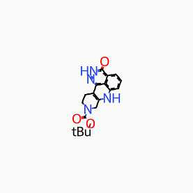 CC(C)(C)OC(=O)N1CCC2=C(C1)Nc1cccc3c(=O)[nH]nc2c13